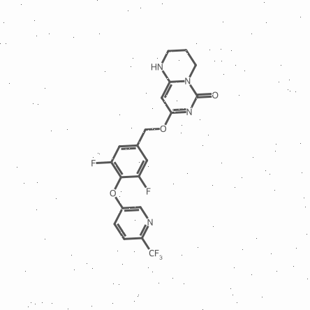 O=c1nc(OCc2cc(F)c(Oc3ccc(C(F)(F)F)nc3)c(F)c2)cc2n1CCCN2